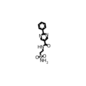 NS(=O)(=O)CCNC(=O)c1cnc(-c2ccccc2)nc1